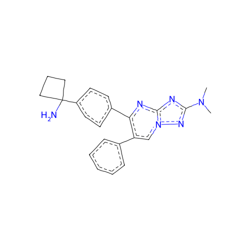 CN(C)c1nc2nc(-c3ccc(C4(N)CCC4)cc3)c(-c3ccccc3)cn2n1